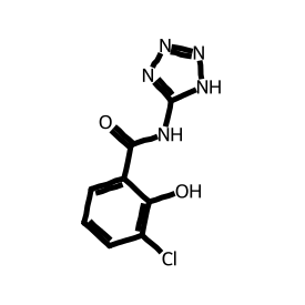 O=C(Nc1nnn[nH]1)c1cccc(Cl)c1O